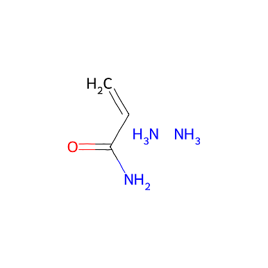 C=CC(N)=O.N.N